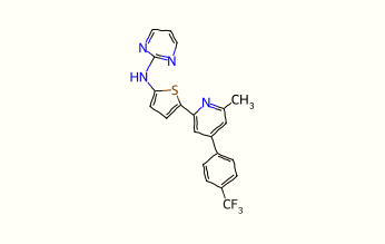 Cc1cc(-c2ccc(C(F)(F)F)cc2)cc(-c2ccc(Nc3ncccn3)s2)n1